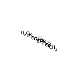 C=CC(=O)OCCOc1ccc(C(c2ccc(OCCOC(=O)C=C)cc2)(C(F)(F)F)C(F)(F)F)cc1